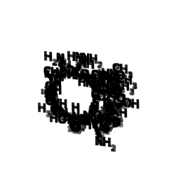 CCCC[C@@H]1NC(=O)[C@H](CCCCN)NC(=O)[C@H](CCCNC(=N)N)NC(=O)[C@H](CC(C)C)NC(=O)C(NC(=O)[C@H](Cc2ccccc2Cl)NC(=O)[C@@H]2CCCN2C(=O)[C@@H](NC(C)=O)C(C)C)CCSSC[C@@H](C(=O)NC(CCCCN)C(=O)N2CCC[C@H]2C(=O)N2CCC[C@H]2C(=O)N[C@@H](CCC(=O)O)C(N)=O)NC(=O)[C@H](Cc2ccccc2)NC(=O)[C@H](CO)NC(=O)C(C)NC(=O)[C@@H]2CCCN2C1=O